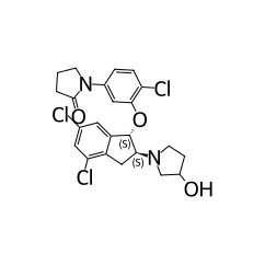 O=C1CCCN1c1ccc(Cl)c(O[C@H]2c3cc(Cl)cc(Cl)c3C[C@@H]2N2CCC(O)C2)c1